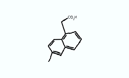 Cc1ccc2c(CC(=O)O)cccc2c1